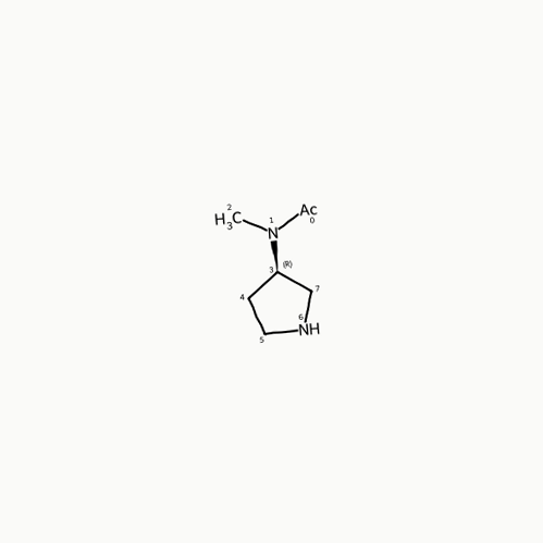 CC(=O)N(C)[C@@H]1CCNC1